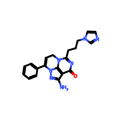 Nc1nn2c3c1c(=O)nc(CCCn1ccnc1)n3CC=C2c1ccccc1